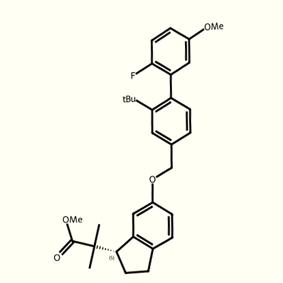 COC(=O)C(C)(C)[C@H]1CCc2ccc(OCc3ccc(-c4cc(OC)ccc4F)c(C(C)(C)C)c3)cc21